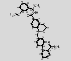 C[C@H](NC(=O)c1ccc2c(c1)CCCN2Cc1ccc(-c2ccccc2C(N)=O)cc1)c1cccc(OC(F)(F)F)c1